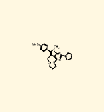 COc1ccc(-c2c(CO)c3c(N4CCCC4)nc(N4CCCC4)nc3n2C)cc1